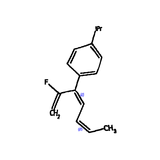 C=C(F)/C(=C\C=C/C)c1ccc(C(C)C)cc1